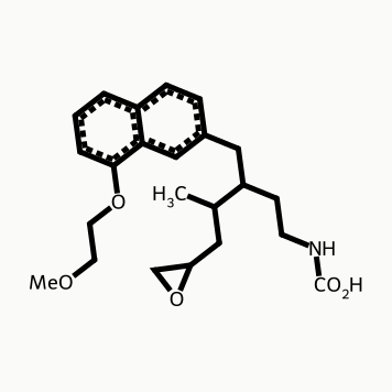 COCCOc1cccc2ccc(CC(CCNC(=O)O)C(C)CC3CO3)cc12